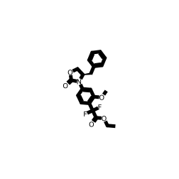 CCOC(=O)C(F)(F)c1ccc(N2C(=O)OC[C@H]2Cc2ccccc2)cc1OC